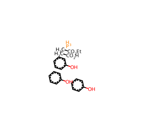 CC(=O)O.CCOC(C)=O.Oc1ccccc1.Oc1ccccc1.Oc1ccccc1.P